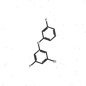 CCc1cc(F)cc(Oc2cccc(F)c2)c1